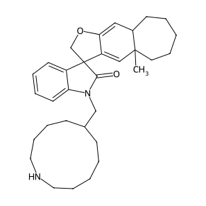 CC12C=C3C(=CC1CCCCC2)OCC31C(=O)N(CC2CCCCCNCCCC2)c2ccccc21